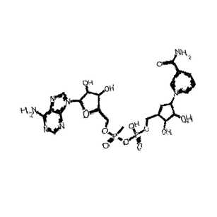 CP(=O)(OCC1OC(n2cnc3c(N)ncnc32)C(O)C1O)OP(=O)(O)OCC1CC([n+]2cccc(C(N)=O)c2)C(O)C1O